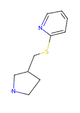 c1ccc(SCC2CC[N]C2)nc1